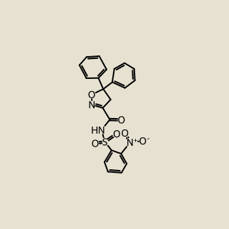 O=C(NS(=O)(=O)c1ccccc1[N+](=O)[O-])C1=NOC(c2ccccc2)(c2ccccc2)C1